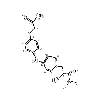 CN(C)C(=O)C(N)Cc1ccc(Oc2ccc(CCC(=O)O)cc2)cc1